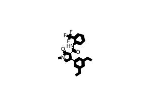 CCc1cc(CC)cc([C@H]2CN(C)C(=O)[C@@H]2C(=O)Nc2ccccc2C(F)(F)F)c1